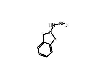 NNN1Cc2ccccc2S1